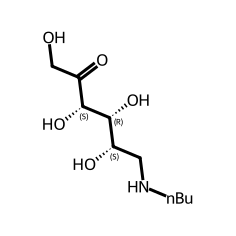 CCCCNC[C@H](O)[C@@H](O)[C@H](O)C(=O)CO